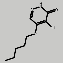 CCCCCOc1cn[nH]c(=O)c1Cl